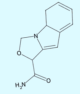 NC(=O)C1OCN2C1=CC1=CC=CCC12